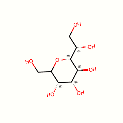 OC[C]1O[C@H]([C@@H](O)CO)[C@@H](O)[C@H](O)[C@@H]1O